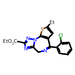 CCOC(=O)c1nc2n(n1)-c1sc(CC)cc1C(c1ccccc1Cl)=NC2